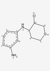 Nc1cccc(NC2CCO[CH]C2Cl)c1